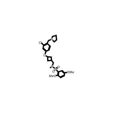 COc1ccc(OC)c(S(=O)(=O)N(C)CC2CC(Oc3ccc(CN4CCCC4)c(Cl)c3)C2)c1